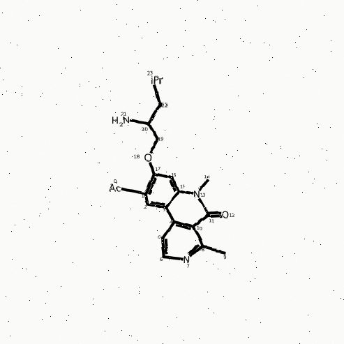 CC(=O)c1cc2c3ccnc(C)c3c(=O)n(C)c2cc1OCC(N)CC(C)C